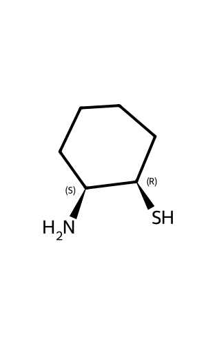 N[C@H]1CCCC[C@H]1S